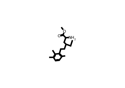 CCC(CCc1c(C)ccc(C)c1C)CC(N)C(=O)OC